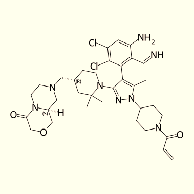 C=CC(=O)N1CCC(n2nc(N3CC[C@@H](CN4CCN5C(=O)COC[C@@H]5C4)CC3(C)C)c(-c3c(Cl)c(Cl)cc(N)c3C=N)c2C)CC1